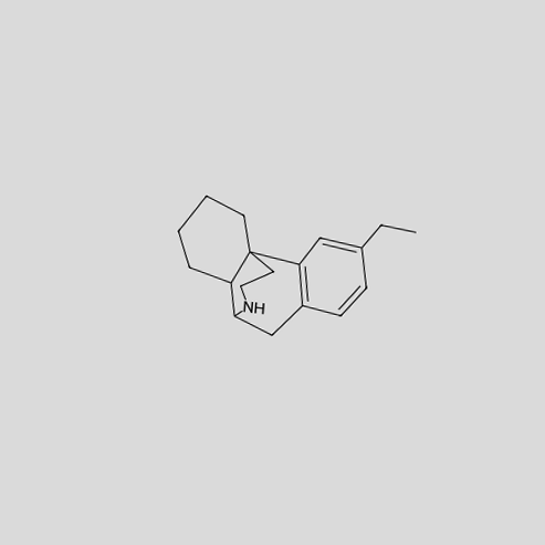 CCc1ccc2c(c1)C13CCCCC1C(C2)NCC3